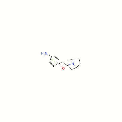 Nc1ccc(OC2CC3CCC(C2)N3CCCF)cc1